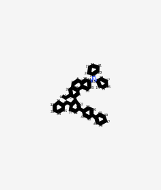 CC(c1ccc2c(ccc3cc(N(c4ccccc4)c4ccccc4)ccc32)c1)[C@@H](c1ccccc1)c1ccc(-c2ccc(-c3ccccc3)cc2)cc1